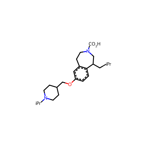 CC(C)CC1CN(C(=O)O)CCc2cc(OCC3CCN(C(C)C)CC3)ccc21